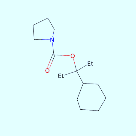 CCC(CC)(OC(=O)N1CCCC1)C1CCCCC1